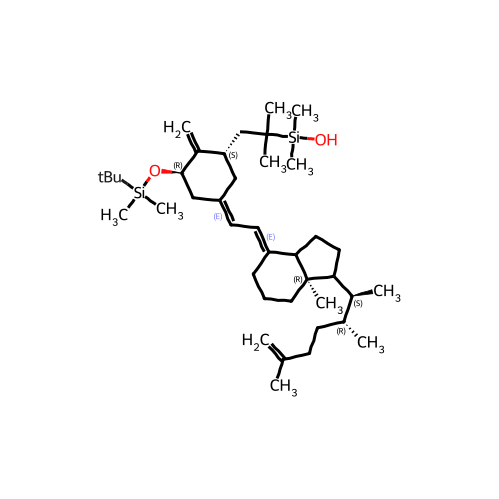 C=C(C)CC[C@@H](C)[C@H](C)C1CCC2/C(=C/C=C3\C[C@@H](CC(C)(C)[Si](C)(C)O)C(=C)[C@H](O[Si](C)(C)C(C)(C)C)C3)CCC[C@@]21C